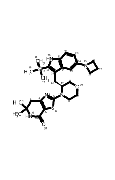 CC1(C)Cc2nc(N3CCOC[C@@H]3Cc3c([Si](C)(C)C)[nH]c4ccc(N5CCC5)cc34)sc2C(=O)N1